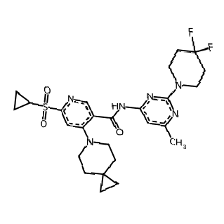 Cc1cc(NC(=O)c2cnc(S(=O)(=O)C3CC3)cc2N2CCC3(CC2)CC3)nc(N2CCC(F)(F)CC2)n1